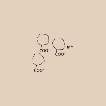 O=C([O-])C1CCCCCCC1.O=C([O-])C1CCCCCCC1.O=C([O-])C1CCCCCCC1.[In+3]